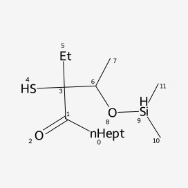 CCCCCCCC(=O)C(S)(CC)C(C)O[SiH](C)C